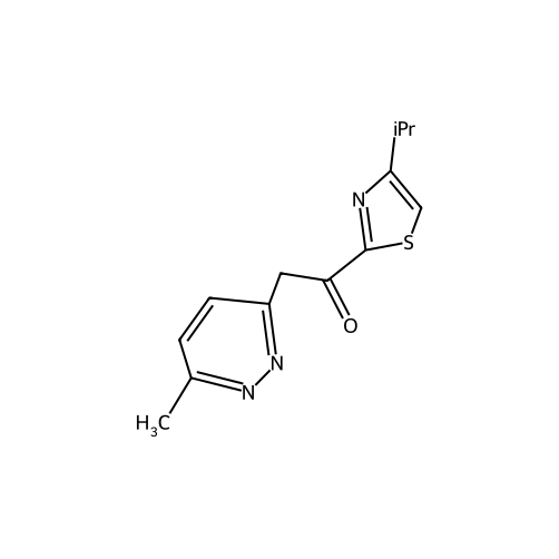 Cc1ccc(CC(=O)c2nc(C(C)C)cs2)nn1